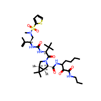 C=C(C)[C@@H](CN(C)S(=O)(=O)c1cccs1)NC(=O)N[C@H](C(=O)N1C[C@H]2[C@@H]([C@H]1C(=O)NC(CCCC)C(=O)C(=O)NCCC)C2(C)C)C(C)(C)C